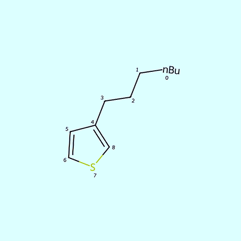 [CH2]CCCCCCc1ccsc1